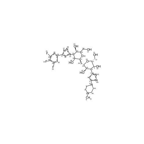 CN1CCN(c2cn(C3C(O)[C@@H](CO)O[C@@H](S[C@@H]4OC(CO)[C@H](O)C(n5cc(-c6cc(F)c(F)c(F)c6)nn5)C4O)[C@@H]3O)nn2)CC1